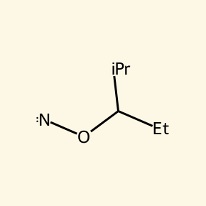 CCC(O[N])C(C)C